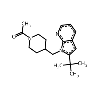 CC(=O)N1CCC(Cn2c(C(C)(C)C)cc3cccnc32)CC1